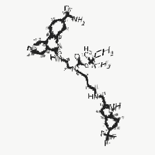 CC(C)(C)OC(=O)N(CCCCNCc1cc2cc(C(F)(F)F)ccc2[nH]1)CCNc1nc2cc(C(N)=O)ccc2c2cnccc12